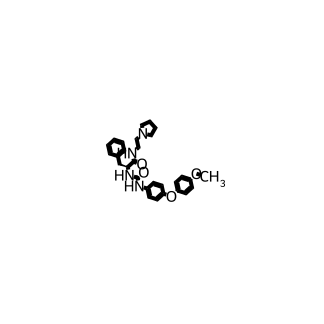 COc1ccc(Oc2ccc(NC(=O)N[C@@H](Cc3ccccc3)C(=O)NCCN3CCCC3)cc2)cc1